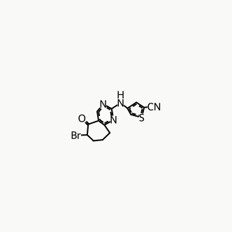 N#Cc1cc(Nc2ncc3c(n2)CCCC(Br)C3=O)cs1